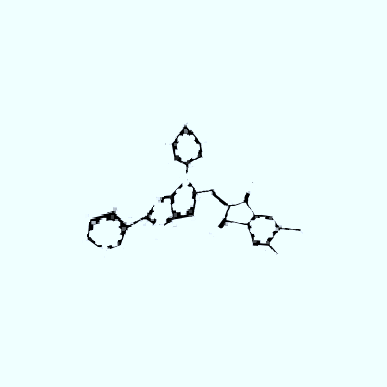 Cc1cc2c(cc1C)C(=O)C(=Cc1cc3oc(-c4cccnc4)nc3n1-c1ccccc1)C2=O